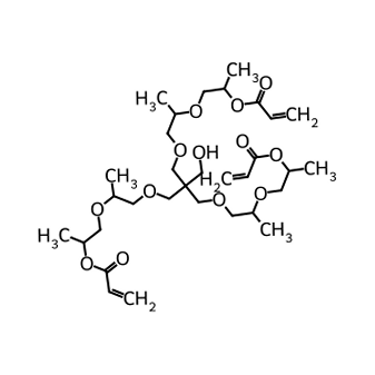 C=CC(=O)OC(C)COC(C)COCC(CO)(COCC(C)OCC(C)OC(=O)C=C)COCC(C)OCC(C)OC(=O)C=C